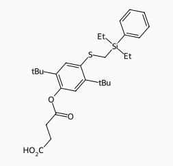 CC[Si](CC)(CSc1cc(C(C)(C)C)c(OC(=O)CCC(=O)O)cc1C(C)(C)C)c1ccccc1